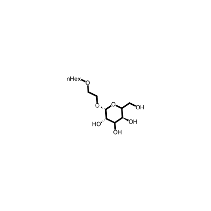 CCCCCCOCCO[C@@H]1OC(CO)[C@@H](O)C(O)[C@@H]1O